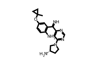 CC1(Oc2ccc(N)c(C(=N)c3cc(N4CC[C@H](N)C4)ncn3)c2)CC1